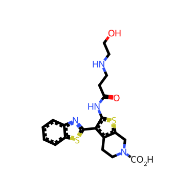 O=C(CCNCCO)Nc1sc2c(c1-c1nc3ccccc3s1)CCN(C(=O)O)C2